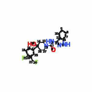 O=C(Nc1n[nH]c2ccccc12)N1CCC(O)(c2ccc(F)c(CF)c2)CC1